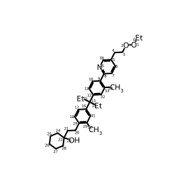 CCOOCCc1ccc(-c2ccc(C(CC)(CC)c3ccc(CCC4(O)CCCCC4)c(C)c3)cc2C)nc1